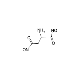 NC(CC(=O)N=O)C(=O)N=O